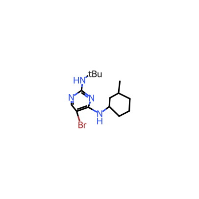 CC1CCCC(Nc2nc(NC(C)(C)C)ncc2Br)C1